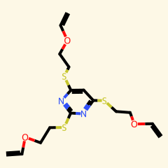 C=COCCSc1cc(SCCOC=C)nc(SCCOC=C)n1